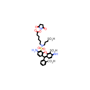 N=c1ccc2c(-c3ccccc3C(=O)O)c3ccc(N)c(S(=O)(=O)N(CCCCCC(=O)ON4C(=O)CCC4=O)CCCS(=O)(=O)O)c3oc-2c1S(=O)(=O)O